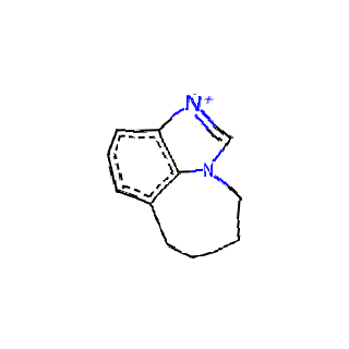 C1=[N+]c2cccc3c2N1CCCC3